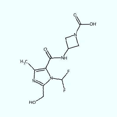 Cc1nc(CO)n(C(F)F)c1C(=O)NC1CN(C(=O)O)C1